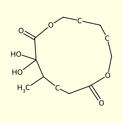 CC1CCC(=O)OCCCCCOC(=O)C1(O)O